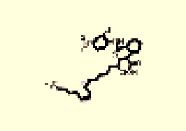 CCCCC/C=C\C/C=C\CCCCC(Cl)CC(C(=O)O)c1ccccc1C(=O)Nc1ccc([N+](=O)[O-])cc1Cl